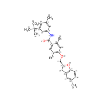 CCc1cc(C(=O)Nc2cc(C)cc(C(C)(C)C(=O)O)c2)c(CC)cc1OC[C@@H]1Cc2cc(C)ccc2O1